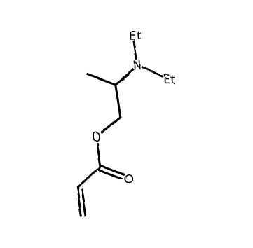 C=CC(=O)OCC(C)N(CC)CC